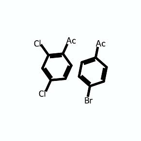 CC(=O)c1ccc(Br)cc1.CC(=O)c1ccc(Cl)cc1Cl